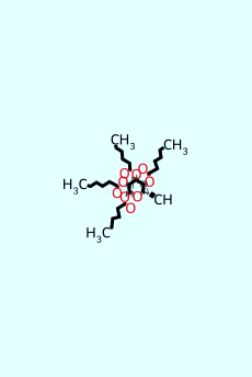 C#C[C@@H]1O[C@H](OC(=O)CCCCC)[C@@H](OC(=O)CCCCC)[C@H](OC(=O)CCCCC)[C@@H]1OC(=O)CCCCC